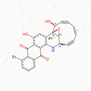 CCc1cccc2c1C(=O)c1c(O)cc3c(c1C2=O)N[C@H]1C#C/C=C\C#C[C@H](O)[C@@]32O[C@@]12C(C)C